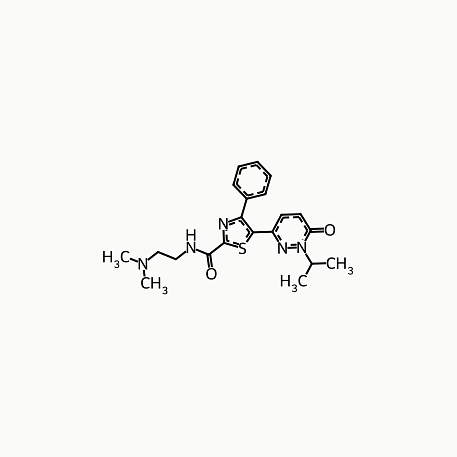 CC(C)n1nc(-c2sc(C(=O)NCCN(C)C)nc2-c2ccccc2)ccc1=O